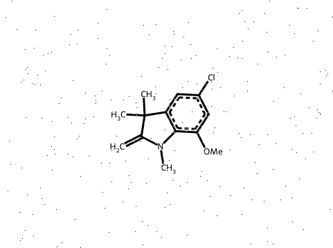 C=C1N(C)c2c(OC)cc(Cl)cc2C1(C)C